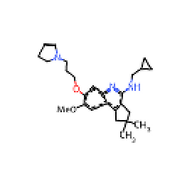 COc1cc2c3c(c(NCC4CC4)nc2cc1OCCCN1CCCC1)CC(C)(C)C3